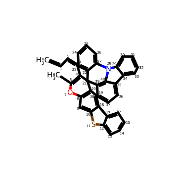 C=C/C=C\C1=C(C)Oc2cc3sc4ccccc4c3cc2C12c1ccccc1-n1c3ccccc3c3cccc2c31